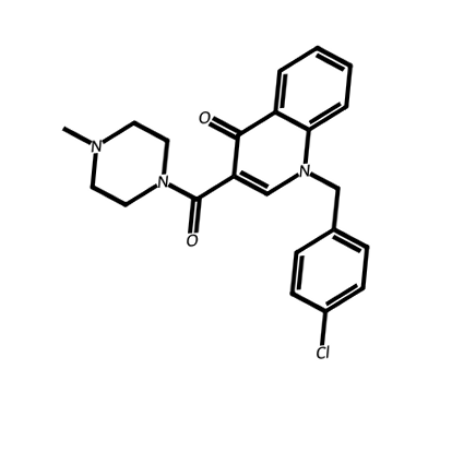 CN1CCN(C(=O)c2cn(Cc3ccc(Cl)cc3)c3ccccc3c2=O)CC1